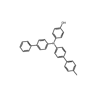 Cc1ccc(-c2ccc(N(c3ccc(O)cc3)c3ccc(-c4ccccc4)cc3)cc2)cc1